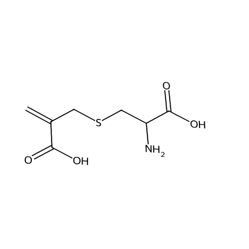 C=C(CSCC(N)C(=O)O)C(=O)O